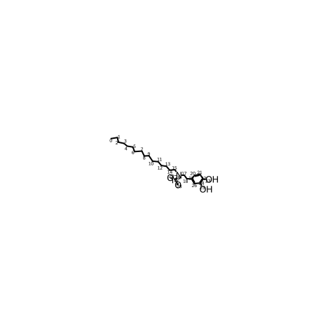 CCCCCCCCCCCCCCCCN(CCc1ccc(O)c(O)c1)[N+](=O)[O-]